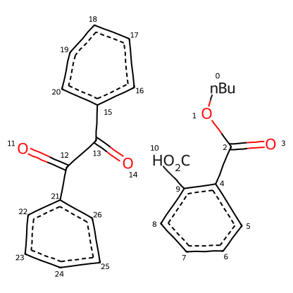 CCCCOC(=O)c1ccccc1C(=O)O.O=C(C(=O)c1ccccc1)c1ccccc1